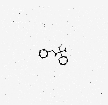 CCC(C(=O)O)(C(=O)Cc1ccccc1)c1ccccc1